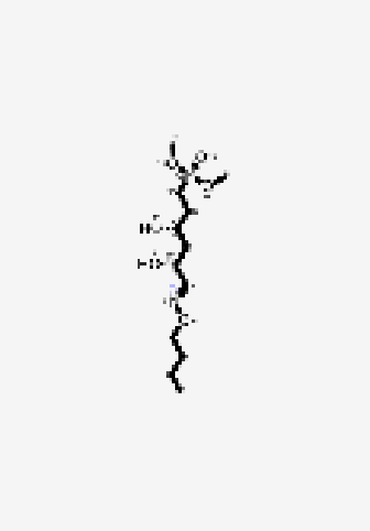 CCCCO/N=C/[C@H](O)C[C@H](O)CCP(=O)(OC)OC